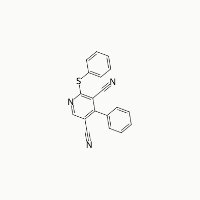 N#Cc1cnc(Sc2ccccc2)c(C#N)c1-c1ccccc1